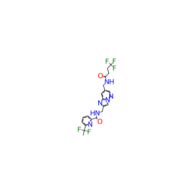 CC(F)(F)c1cccc(C(=O)NCc2cn3ncc(CNC(=O)CCC(F)(F)F)cc3n2)n1